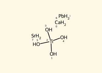 [CaH2].[OH][Ti]([OH])([OH])[OH].[PbH2].[SrH2]